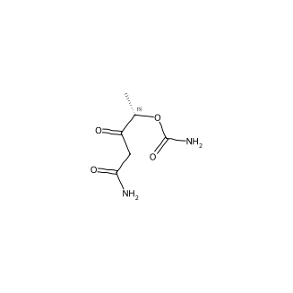 C[C@H](OC(N)=O)C(=O)CC(N)=O